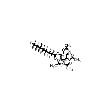 CC(=O)OC[C@@H](OC(=O)C(F)(F)C(F)(F)C(F)(F)C(F)(F)C(F)(F)C(F)(F)C(F)(F)F)[C@@H](OC(C)=O)[C@H](OC(C)=O)[C@H](C=O)OC(C)=O